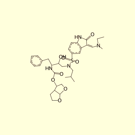 CCN(C)/C=C1\C(=O)Nc2ccc(S(=O)(=O)N(CC(C)C)CC(O)C(Cc3ccccc3)NC(=O)OC3COC4OCCC34)cc21